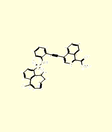 COC(=O)c1ncc(C#Cc2ccccc2NS(=O)(=O)c2cccc3c2C(C)C/C=C/C=C\3Cl)c2ccccc12